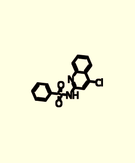 O=S(=O)(Nc1cc(Cl)c2ccccc2n1)c1ccccc1